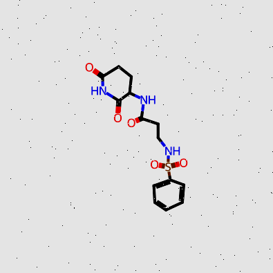 O=C1CCC(NC(=O)CCNS(=O)(=O)c2ccccc2)C(=O)N1